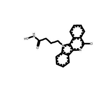 O=C(CCCn1c2ccccc2c2nc(Cl)c3ccccc3c21)NO